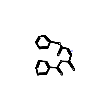 O=C(/C=C\C(=O)Oc1ccccc1)OC(=O)c1ccccc1